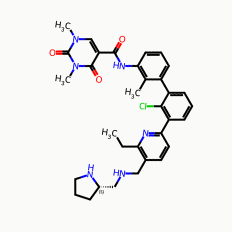 CCc1nc(-c2cccc(-c3cccc(NC(=O)c4cn(C)c(=O)n(C)c4=O)c3C)c2Cl)ccc1CNC[C@@H]1CCCN1